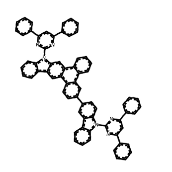 c1ccc(-c2cc(-c3ccccc3)nc(-n3c4ccccc4c4cc(-c5ccc6c(c5)c5ccccc5c5cc7c(cc65)c5ccccc5n7-c5nc(-c6ccccc6)cc(-c6ccccc6)n5)ccc43)n2)cc1